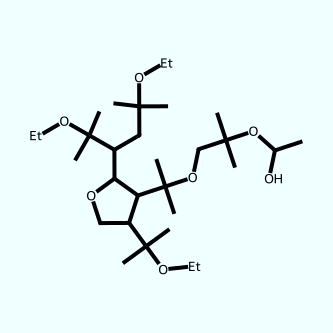 CCOC(C)(C)CC(C1OCC(C(C)(C)OCC)C1C(C)(C)OCC(C)(C)OC(C)O)C(C)(C)OCC